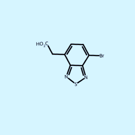 O=C(O)Cc1ccc(Br)c2nsnc12